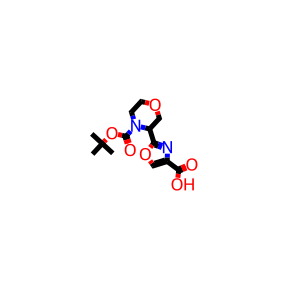 CC(C)(C)OC(=O)N1CCOCC1c1nc(C(=O)O)co1